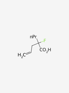 C=CCC(F)(CCC)C(=O)O